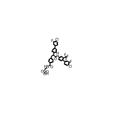 O=C(NCCS(=O)(=O)O)c1ccc(CC(C(=O)Nc2ccc(-c3ccc(Cl)c(F)c3)c(C(F)(F)F)c2)c2ccc(-c3ccc(Cl)c(F)c3)cc2)cc1